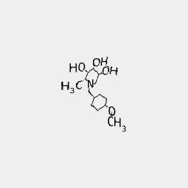 CO[C@H]1CC[C@@H](CN2C[C@H](O)[C@@H](O)[C@H](O)[C@H]2C)CC1